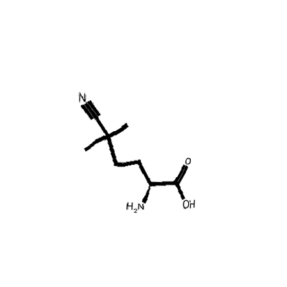 CC(C)(C#N)CC[C@H](N)C(=O)O